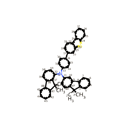 CC1(C)c2ccccc2-c2cc(N(c3ccc(-c4ccc5c(c4)sc4ccccc45)cc3)c3cccc4c3C(C)(C)c3ccccc3-4)ccc21